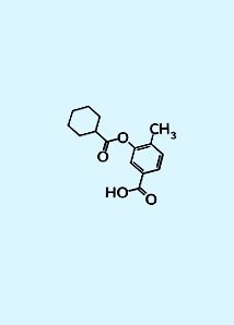 Cc1ccc(C(=O)O)cc1OC(=O)C1CCCCC1